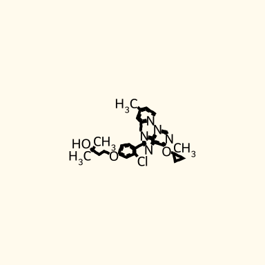 Cc1ccnc(Cn2c(-c3ccc(OCCC(C)(C)O)cc3Cl)nc3c(OC4(C)CC4)ncnc32)c1